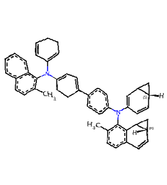 Cc1ccc2c(c1N(C1=CC3C[C@@H]3C=C1)c1ccc(C3=CC=C(N(C4=CCCC=C4)c4c(C)ccc5ccccc45)CC3)cc1)C1C[C@@H]1C=C2